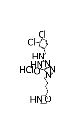 Cl.O=c1[nH]c(NCc2ccc(Cl)c(Cl)c2)nc2ncn(CCCCC3CNCCO3)c12